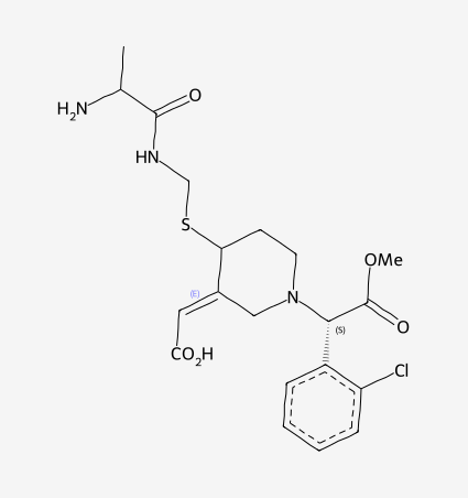 COC(=O)[C@H](c1ccccc1Cl)N1CCC(SCNC(=O)C(C)N)/C(=C/C(=O)O)C1